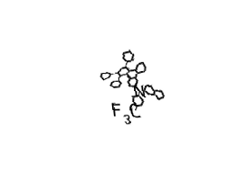 FC(F)(F)c1ccc(N(c2ccc3ccccc3c2)c2ccc3c(c2)c2ccccc2c2c(-c4ccccc4)cc(-c4ccccc4)c(-c4ccccc4)c32)cc1